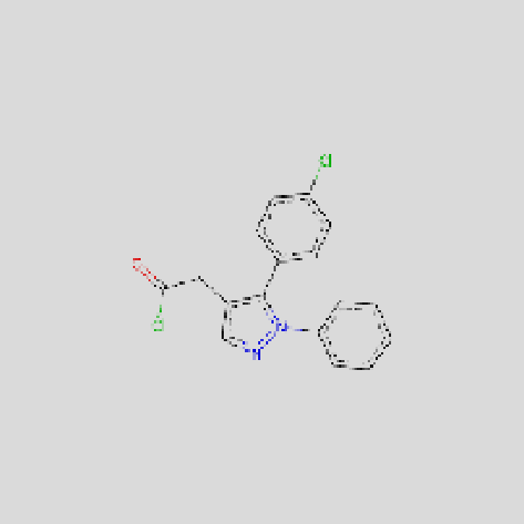 O=C(Cl)Cc1cnn(-c2ccccc2)c1-c1ccc(Cl)cc1